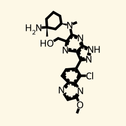 COc1cnc2ccc(-c3n[nH]c4nc(N(C)[C@@H]5CCC[C@@](C)(N)C5)c(CO)nc34)c(Cl)c2n1